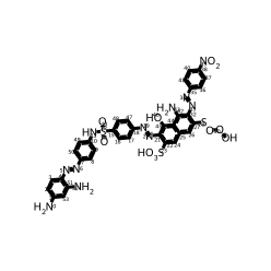 Nc1ccc(N=Nc2ccc(NS(=O)(=O)c3ccc(N=Nc4c(S(=O)(=O)O)cc5cc(SOOO)c(N=Nc6ccc([N+](=O)[O-])cc6)c(N)c5c4O)cc3)cc2)c(N)c1